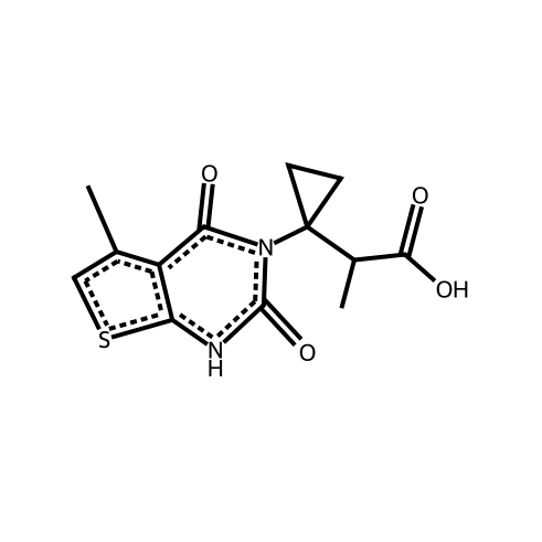 Cc1csc2[nH]c(=O)n(C3(C(C)C(=O)O)CC3)c(=O)c12